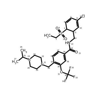 CCS(=O)(=O)C1C=CC(Cl)=CC1CNC(=O)c1ccc(CN2CCN(C(C)C)CC2)c(OC(F)(F)F)c1